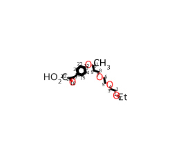 CCOCCOCCOCCC(C)Oc1ccc(C2OC2C(=O)O)cc1